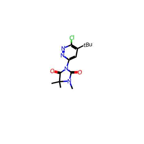 CN1C(=O)N(c2cc(C(C)(C)C)c(Cl)nn2)C(=O)C1(C)C